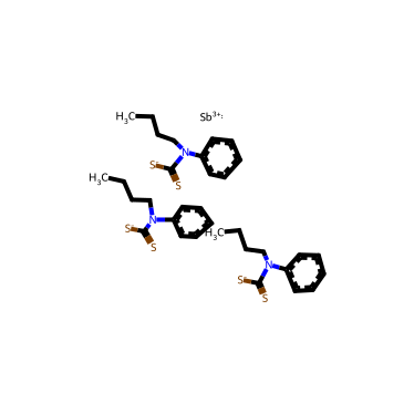 CCCCN(C(=S)[S-])c1ccccc1.CCCCN(C(=S)[S-])c1ccccc1.CCCCN(C(=S)[S-])c1ccccc1.[Sb+3]